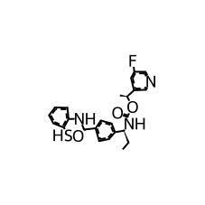 CC[C@H](NC(=O)O[C@@H](C)c1cncc(F)c1)c1ccc(C(=O)Nc2ccccc2S)cc1